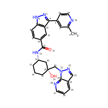 Cc1cc(-c2n[nH]c3ccc(C(=O)N[C@H]4CCC[C@](O)(Cn5ncc6cccnc65)C4)cc23)ccn1